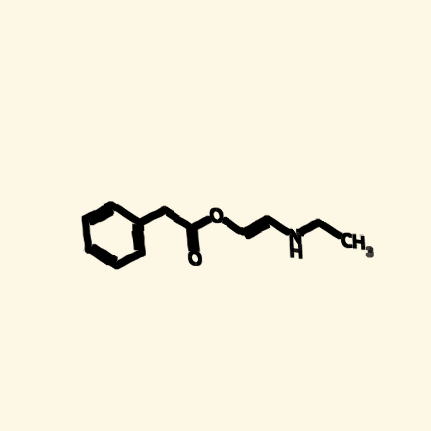 CCNC=COC(=O)Cc1ccccc1